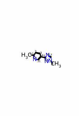 Cc1ccc(-c2ncn(C)n2)cn1